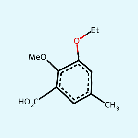 CCOc1cc(C)cc(C(=O)O)c1OC